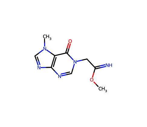 COC(=N)Cn1cnc2ncn(C)c2c1=O